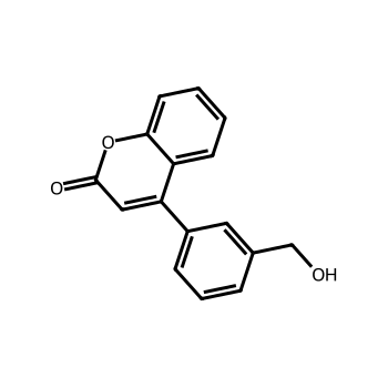 O=c1cc(-c2cccc(CO)c2)c2ccccc2o1